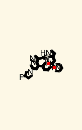 N#Cc1cnn2cc(N3CCC(F)C3)cc(-c3ccc(N4CC5CC(C4)N5Cc4cnc5[nH]ccc5c4)nc3)c12